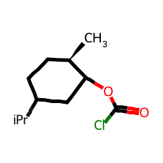 CC(C)C1CC[C@@H](C)C(OC(=O)Cl)C1